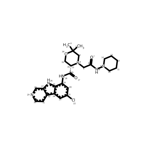 CC1(C)CN(CC(=O)NN2CCCCC2)[C@H](C(=O)Nc2cc(Cl)cc3c2[nH]c2cnccc23)CO1